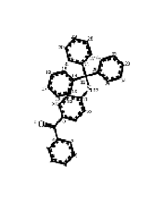 O=C(c1ccccc1)c1ccc(SC(c2ccccc2)(c2ccccc2)c2ccccc2)cc1